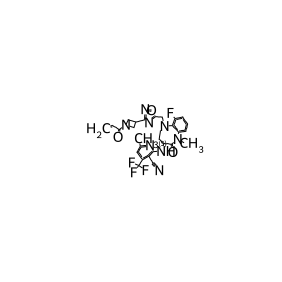 C=CC(=O)N1CC(c2noc(CN3CC[C@H](Nc4nc(C)cc(C(F)(F)F)c4C#N)C(=O)N(C)c4cccc(F)c43)n2)C1